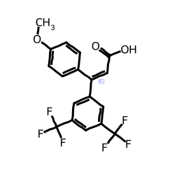 COc1ccc(/C(=C\C(=O)O)c2cc(C(F)(F)F)cc(C(F)(F)F)c2)cc1